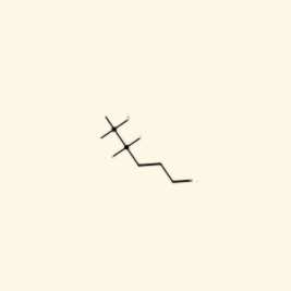 [2H]C([2H])([2H])C([2H])([2H])CCCBr